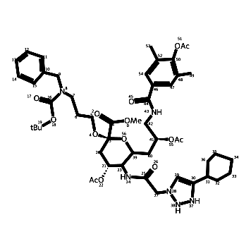 COC(=O)[C@@]1(OCCCN(Cc2ccccc2)C(=O)OC(C)(C)C)C[C@@H](OC(C)=O)C(NC(=O)CN2C=C(C3CCCCC3)NN2)C(C[C@@H](CNC(=O)c2cc(C)c(OC(C)=O)c(C)c2)OC(C)=O)O1